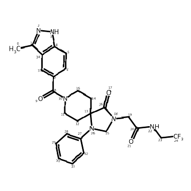 Cc1n[nH]c2ccc(C(=O)N3CCC4(CC3)C(=O)N(CC(=O)NCC(F)(F)F)CN4c3ccccc3)cc12